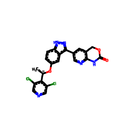 C[C@@H](Oc1ccc2[nH]nc(-c3cnc4c(c3)COC(=O)N4)c2c1)c1c(Cl)cncc1Cl